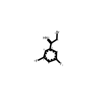 N=C(CBr)c1cc(F)cc(F)c1